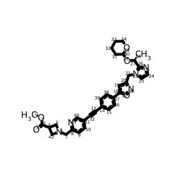 COC(=O)C1CN(Cc2ccc(C#Cc3ccc(-c4cc(Cn5ccnc5[C@H](C)OC5CCCCO5)no4)cc3)cn2)C1